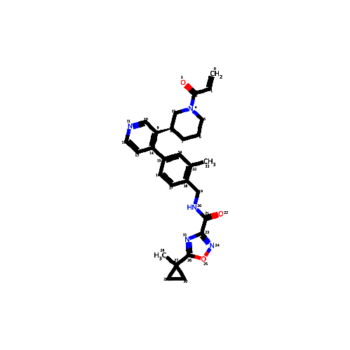 C=CC(=O)N1CCC[C@@H](c2cnccc2-c2ccc(CNC(=O)c3noc(C4(C)CC4)n3)c(C)c2)C1